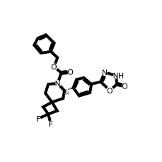 O=C(OCc1ccccc1)N1CCC2(C[C@H]1c1ccc(-c3n[nH]c(=O)o3)cc1)CC(F)(F)C2